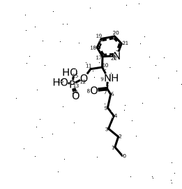 CCCCCCCC(=O)NC(COP(=O)(O)O)c1ccccn1